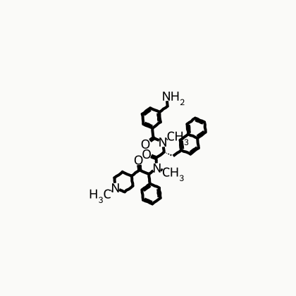 CN1CCC(C(=O)C(c2ccccc2)N(C)C(=O)[C@@H](Cc2ccc3ccccc3c2)N(C)C(=O)c2cccc(CN)c2)CC1